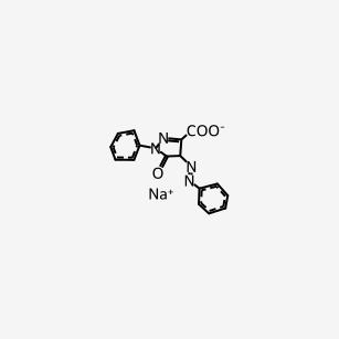 O=C([O-])C1=NN(c2ccccc2)C(=O)C1N=Nc1ccccc1.[Na+]